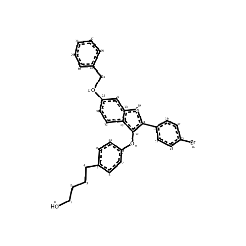 OCCCCc1ccc(Oc2c(-c3ccc(Br)cc3)sc3cc(OCc4ccccc4)ccc23)cc1